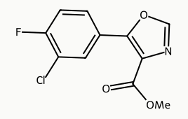 COC(=O)c1ncoc1-c1ccc(F)c(Cl)c1